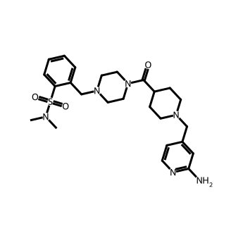 CN(C)S(=O)(=O)c1ccccc1CN1CCN(C(=O)C2CCN(Cc3ccnc(N)c3)CC2)CC1